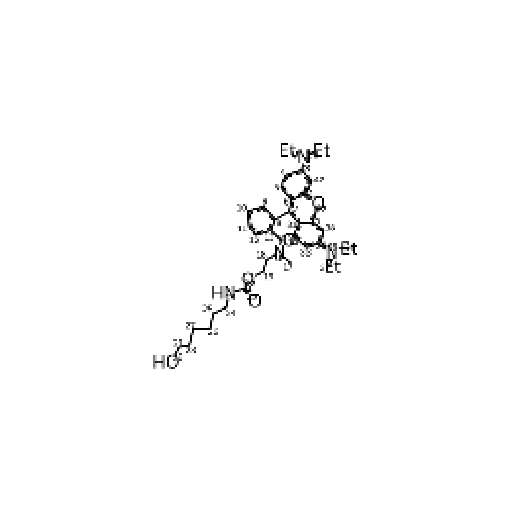 CCN(CC)c1ccc2c(-c3ccccc3C(=O)N(C)CCOC(=O)NCCCCCCO)c3ccc(=[N+](CC)CC)cc-3oc2c1